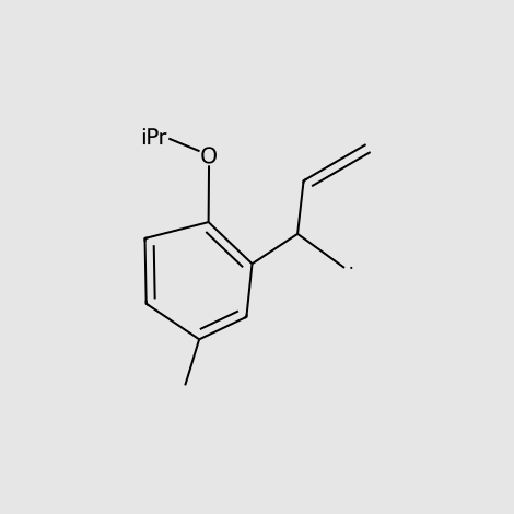 [CH2]C(C=C)c1cc(C)ccc1OC(C)C